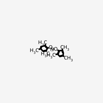 Cc1cc(C)c(O[N]Oc2c(C)cc(C)cc2C)c(C)c1